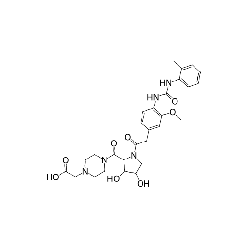 COc1cc(CC(=O)N2CC(O)C(O)C2C(=O)N2CCN(CC(=O)O)CC2)ccc1NC(=O)Nc1ccccc1C